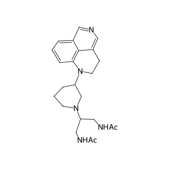 CC(=O)NCC(CNC(C)=O)N1CCCC(N2CCc3cncc4cccc2c34)C1